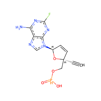 C#C[C@@]1(CO[PH](=O)O)C=C[C@H](n2cnc3c(N)nc(F)nc32)O1